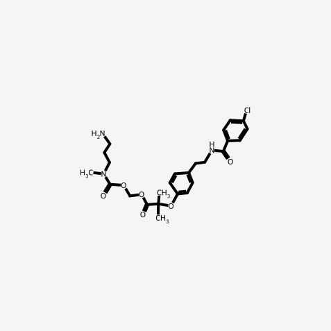 CN(CCCN)C(=O)OCOC(=O)C(C)(C)Oc1ccc(CCNC(=O)c2ccc(Cl)cc2)cc1